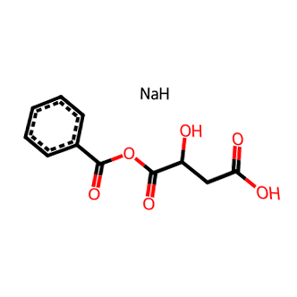 O=C(O)CC(O)C(=O)OC(=O)c1ccccc1.[NaH]